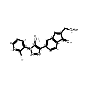 COCC1=Cc2cc(-c3nnn(-c4cccnc4F)c3C)ccc2C1=O